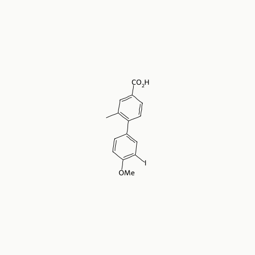 COc1ccc(-c2ccc(C(=O)O)cc2C)cc1I